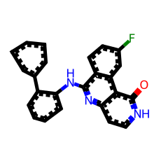 O=c1[nH]ccc2nc(Nc3ccccc3-c3ccccc3)c3ccc(F)cc3c12